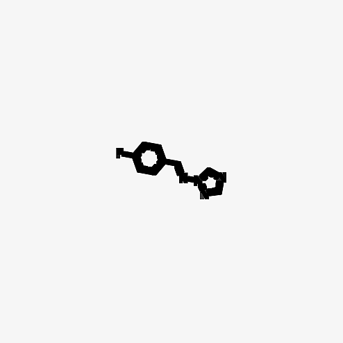 Fc1ccc(/C=N/n2cncn2)cc1